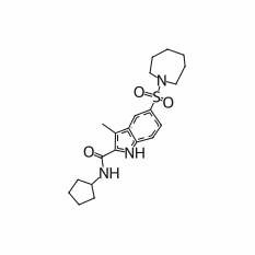 Cc1c(C(=O)NC2CCCC2)[nH]c2ccc(S(=O)(=O)N3CCCCCC3)cc12